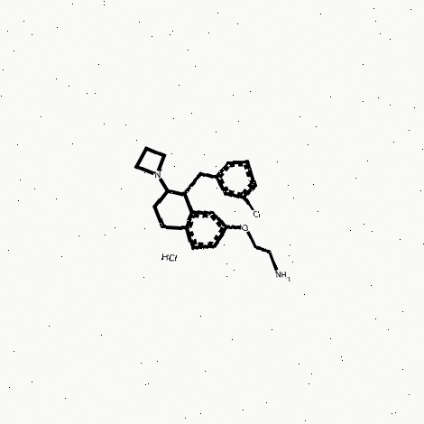 Cl.NCCOc1ccc2c(c1)C(Cc1cccc(Cl)c1)C(N1CCC1)CC2